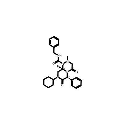 CN1CC(=O)N2[C@@H](c3ccccc3)C(=O)N(C3CCCCC3)C[C@@H]2N1C(=O)NCc1ccccc1